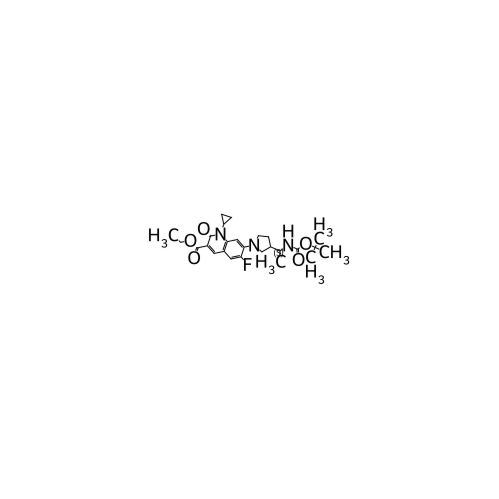 CCOC(=O)c1cc2cc(F)c(N3CCC([C@H](C)NC(=O)OC(C)(C)C)C3)cc2n(C2CC2)c1=O